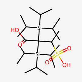 CC(C)[Si](C(C)C)(C(C)C)C(C(=O)O)(C(C)S(=O)(=O)O)[Si](C(C)C)(C(C)C)C(C)C